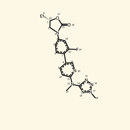 CC[C@H]1CN(c2ccc(-c3ccc(N(C)c4nnn(C)n4)nc3)c(F)c2)C(=O)O1